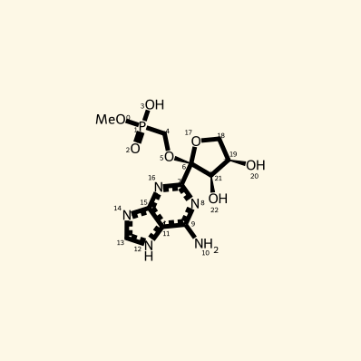 COP(=O)(O)CO[C@@]1(c2nc(N)c3[nH]cnc3n2)OC[C@@H](O)[C@H]1O